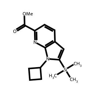 COC(=O)c1ccc2cc([Si](C)(C)C)n(C3CCC3)c2n1